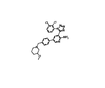 COC1CCCN(Cc2ccc(-c3cnc(N)c(-c4nnnn4-c4cccc(Cl)c4Cl)c3)cc2)C1